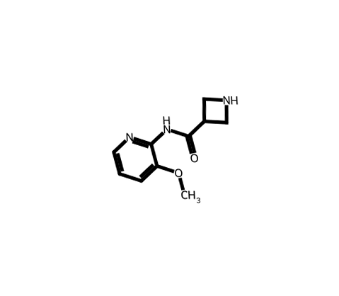 COc1cccnc1NC(=O)C1CNC1